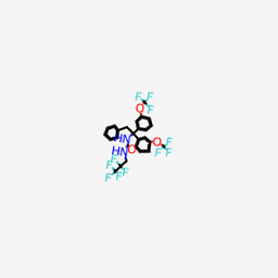 O=C(NCC(F)(F)C(F)(F)F)NC(Cc1ccccc1)(c1cccc(OC(F)(F)F)c1)c1cccc(OC(F)(F)F)c1